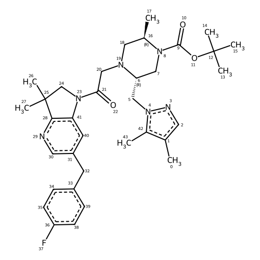 Cc1cnn(C[C@H]2CN(C(=O)OC(C)(C)C)[C@H](C)CN2CC(=O)N2CC(C)(C)c3ncc(Cc4ccc(F)cc4)cc32)c1C